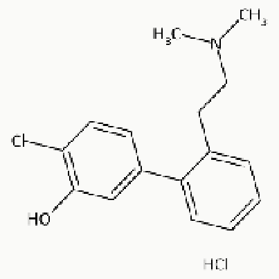 CN(C)CCc1ccccc1-c1ccc(Cl)c(O)c1.Cl